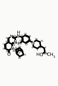 C[C@H](O)CC1CCN(c2ccc(Nc3ncc4ccc(=O)n([C@@H]5CC6CCC5C6)c4n3)c(F)c2)CC1